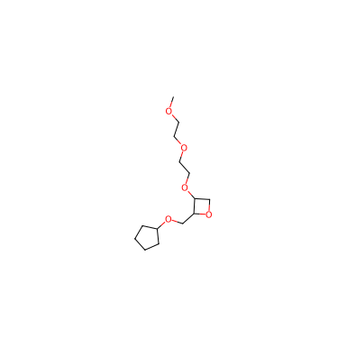 COCCOCCOC1COC1COC1CCCC1